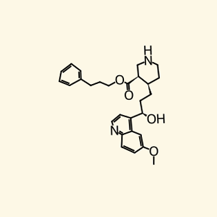 COc1ccc2nccc([C@H](O)CC[C@@H]3CCNC[C@@H]3C(=O)OCCCc3ccccc3)c2c1